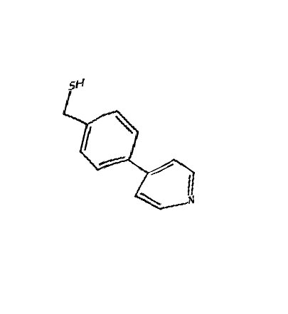 SCc1ccc(-c2ccncc2)cc1